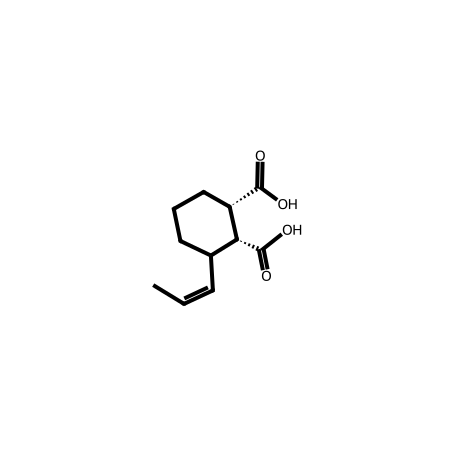 C/C=C\C1CCC[C@H](C(=O)O)[C@@H]1C(=O)O